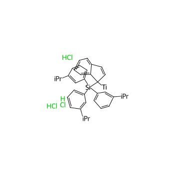 CC(C)c1cccc([Si](c2cccc(C(C)C)c2)(c2cccc(C(C)C)c2)[C]2([Ti])C=Cc3ccccc32)c1.Cl.Cl.Cl